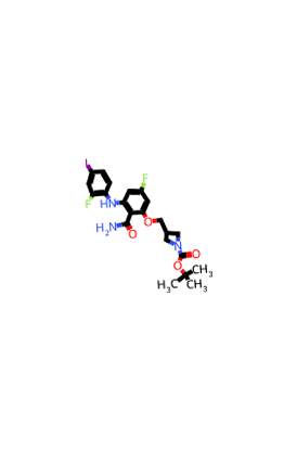 CC(C)(C)OC(=O)N1CC(COc2cc(F)cc(Nc3ccc(I)cc3F)c2C(N)=O)C1